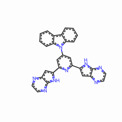 c1ccc2c(c1)c1ccccc1n2-c1cc(-c2cc3nccnc3[nH]2)nc(-c2cc3nccnc3[nH]2)c1